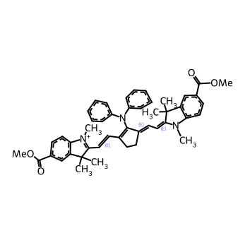 COC(=O)c1ccc2c(c1)C(C)(C)C(/C=C/C1=C(N(c3ccccc3)c3ccccc3)C(=C/C=C3/N(C)c4ccc(C(=O)OC)cc4C3(C)C)/CC1)=[N+]2C